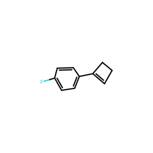 Fc1ccc(C2=CCC2)cc1